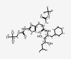 CC(C)C[C@H](O)[C@H](O)[C@H](CC1CCCCC1)NC(=O)[C@@H](CC(=O)OC(C)(C)C)Cc1csc(NC(=O)OCC(Cl)(Cl)Cl)n1